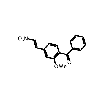 COc1cc(C=C[N+](=O)[O-])ccc1C(=O)c1ccccc1